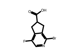 O=C(O)C1Cc2c(F)cnc(Br)c2C1